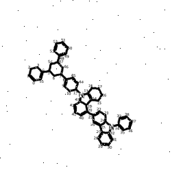 C1=CCCC(C2CC(C3=CCC(N4C5=C(CCCC5)C5C(C6=CCC7C(=C6)c6ccccc6N7c6ccccc6)=CC=CC54)C=C3)CC(c3ccccc3)C2)=C1